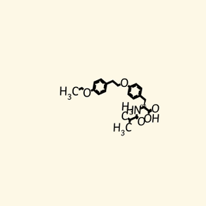 CCOc1ccc(CCOc2ccc(C[C@H](NC(=O)C(C)C)C(=O)O)cc2)cc1